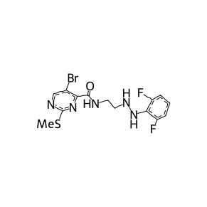 CSc1ncc(Br)c(C(=O)NCCNNc2c(F)cccc2F)n1